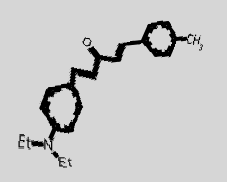 CCN(CC)c1ccc(C=CC(=O)C=Cc2ccc(C)cc2)cc1